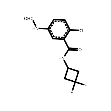 O=CNc1ccc(Cl)c(C(=O)NC2CC(F)(F)C2)c1